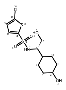 O=S(=O)(N[C@H](CO)C1CCC(O)CC1)c1ccc(Cl)s1